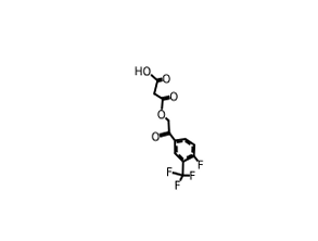 O=C(O)CC(=O)OCC(=O)c1ccc(F)c(C(F)(F)F)c1